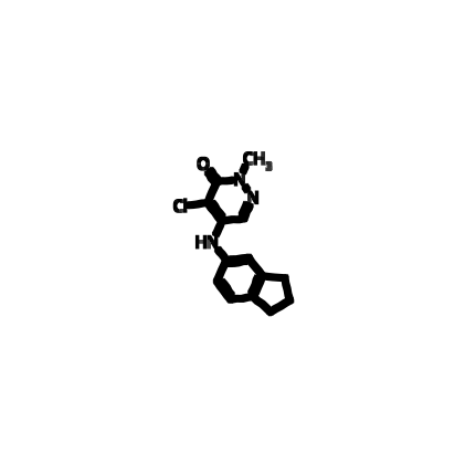 Cn1ncc(Nc2ccc3c(c2)CCC3)c(Cl)c1=O